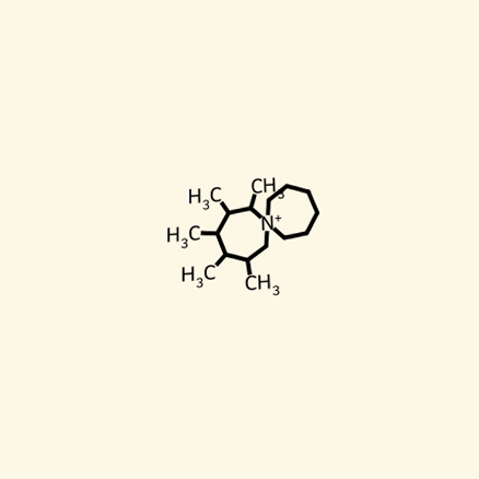 CC1C[N+]2(CCCCCC2)C(C)C(C)C(C)C1C